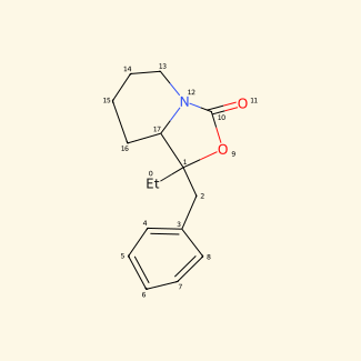 CCC1(Cc2ccccc2)OC(=O)N2CCCCC21